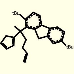 C=CCCC(C)(C1=CC=CC1)c1c(C(C)(C)C)ccc2c1Cc1cc(C(C)(C)C)ccc1-2